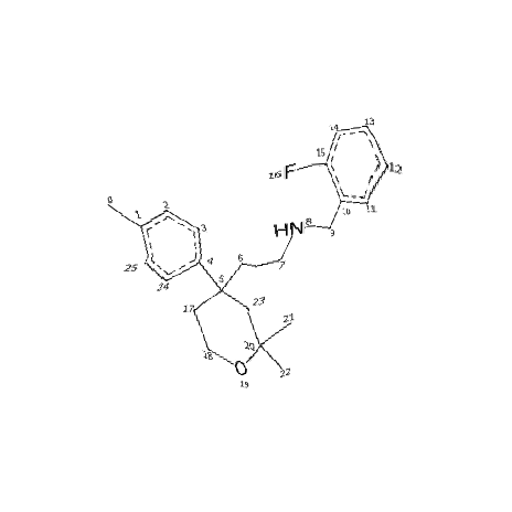 Cc1ccc(C2(CCNCc3ccccc3F)CCOC(C)(C)C2)cc1